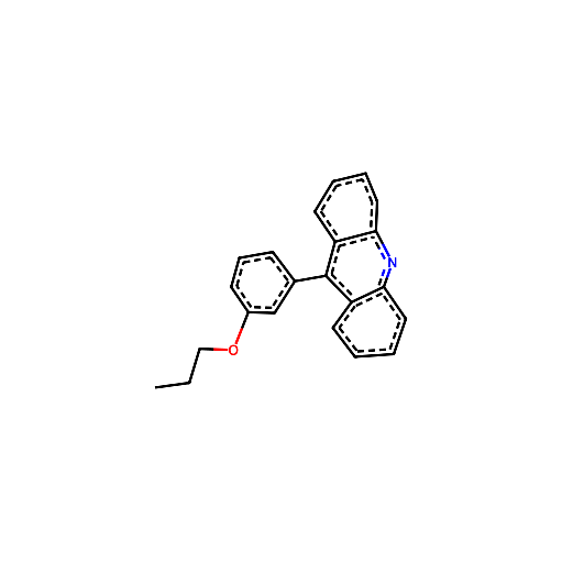 CCCOc1cccc(-c2c3ccccc3nc3ccccc23)c1